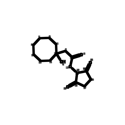 O=C(CC1(O)CCCCCCC1)ON1C(=O)CCC1=O